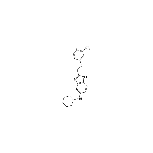 FC(F)(F)c1cc(SCc2nc3cc(NC4CCCCC4)ccc3[nH]2)ccn1